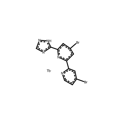 Brc1ccnc(-c2cc(Br)cc(-c3ncn[nH]3)n2)c1.[Tb]